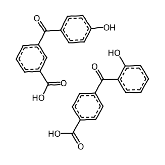 O=C(O)c1ccc(C(=O)c2ccccc2O)cc1.O=C(O)c1cccc(C(=O)c2ccc(O)cc2)c1